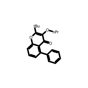 CCCOc1c(C(C)(C)C)oc2cccc(-c3ccccc3)c2c1=O